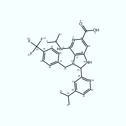 CC(C)Nc1nc(C(=O)O)cc2c1N(Cc1ccc(C(F)(F)F)cc1)C(c1cc(C(C)C)ccn1)N2